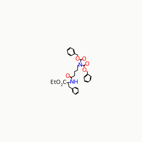 CCOC(=O)C(Cc1ccccc1)NC(=O)CCCCN(C(=O)OCc1ccccc1)C(=O)OCc1ccccc1